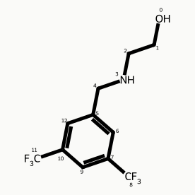 OCCNCc1cc(C(F)(F)F)cc(C(F)(F)F)c1